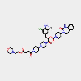 Nc1c(Cl)cc(C[C@@H](OC(=O)N2CCC(N3CCc4ccccc4NC3=O)CC2)C(=O)N2CCN(C3CCN(C(=O)CCC(=O)OCCN4CCOCC4)CC3)CC2)cc1C(F)(F)F